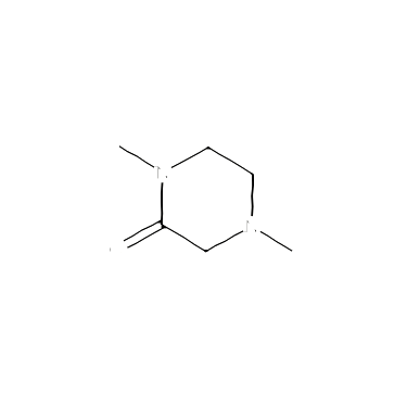 CN1CCN(I)CC1=O